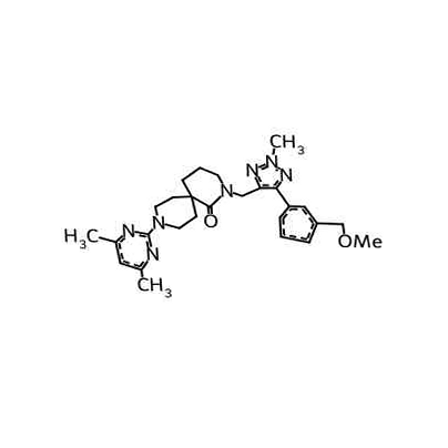 COCc1cccc(-c2nn(C)nc2CN2CCCC3(CCN(c4nc(C)cc(C)n4)CC3)C2=O)c1